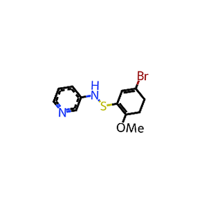 COC1=C(SNc2cccnc2)C=C(Br)CC1